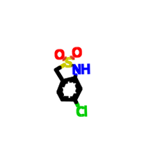 O=S1(=O)Cc2ccc(Cl)cc2N1